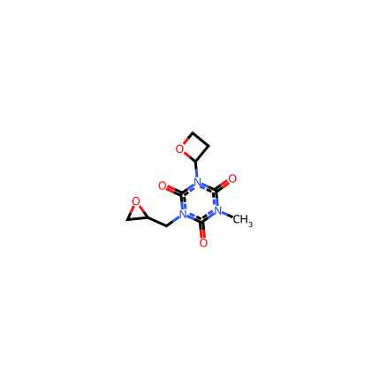 Cn1c(=O)n(CC2CO2)c(=O)n(C2CCO2)c1=O